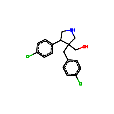 OCC1(Cc2ccc(Cl)cc2)CNCC1c1ccc(Cl)cc1